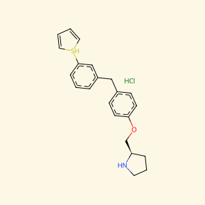 C1=C[SH](c2cccc(Cc3ccc(OC[C@H]4CCCN4)cc3)c2)C=C1.Cl